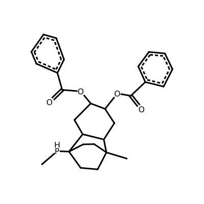 CPC12CCC(C)(CC1)C1CC(OC(=O)c3ccccc3)C(OC(=O)c3ccccc3)CC12